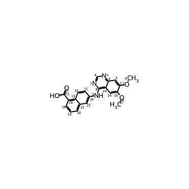 COc1cc2ncnc(Nc3ccc4c(C(=O)O)cccc4c3)c2cc1OC